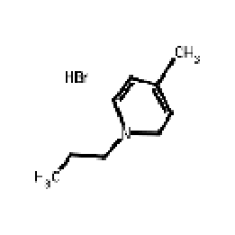 Br.CCCN1C=CC(C)=CC1